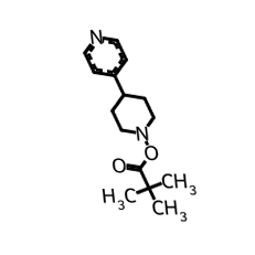 CC(C)(C)C(=O)ON1CCC(c2ccncc2)CC1